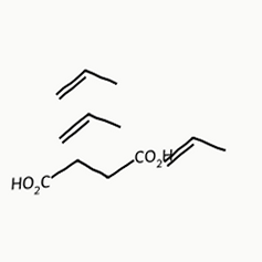 C=CC.C=CC.C=CC.O=C(O)CCC(=O)O